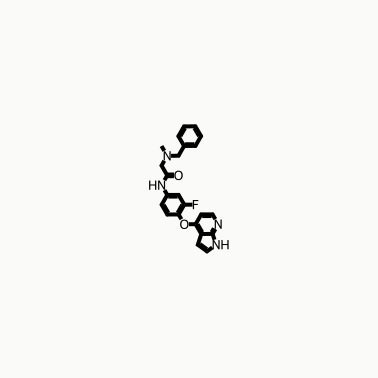 CN(CC(=O)Nc1ccc(Oc2ccnc3[nH]ccc23)c(F)c1)Cc1ccccc1